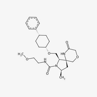 COCCNC(=O)N1[C@H](C)C[C@@]2(COCC(=O)N2)[C@@H]1CO[C@H]1CC[C@@H](c2ccccc2)CC1